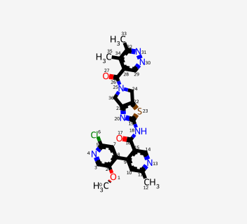 COc1cnc(Cl)cc1-c1cc(C)ncc1C(=O)Nc1nc2c(s1)CN(C(=O)c1cnnc(C)c1C)C2